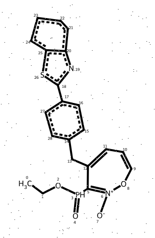 CCO[PH](=O)C1=[N+]([O-])OC=CC=C1Cc1ccc(-c2nc3ccccc3s2)cc1